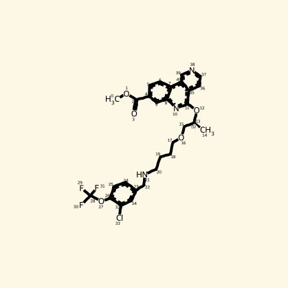 COC(=O)c1ccc2c(c1)nc(O[C@@H](C)COCCCCNCc1ccc(OC(F)(F)F)c(Cl)c1)c1ccncc12